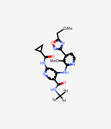 [2H]C([2H])([2H])NC(=O)c1cnc(NC(=O)C2CC2)cc1Nc1nccc(-c2noc(COC)n2)c1OC